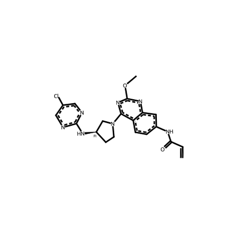 C=CC(=O)Nc1ccc2c(N3CC[C@@H](Nc4ncc(Cl)cn4)C3)nc(OC)nc2c1